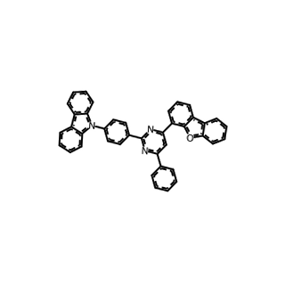 c1ccc(-c2cc(-c3cccc4c3oc3ccccc34)nc(-c3ccc(-n4c5ccccc5c5ccccc54)cc3)n2)cc1